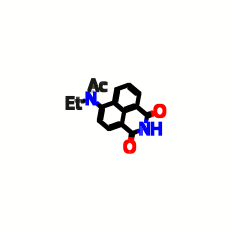 CCN(C(C)=O)c1ccc2c3c(cccc13)C(=O)NC2=O